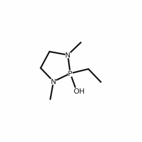 CC[P]1(O)N(C)CCN1C